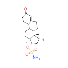 C[C@]12CCC3C4CCC(=O)C=C4CCC3[C@@]13C[C@H]3C[C@@H]2OS(N)(=O)=O